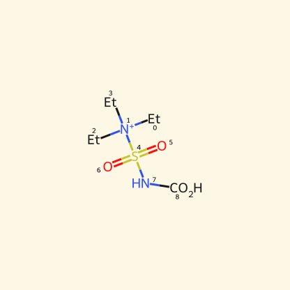 CC[N+](CC)(CC)S(=O)(=O)NC(=O)O